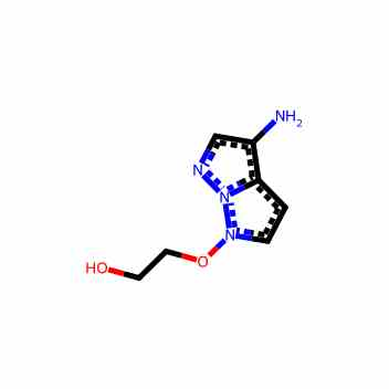 Nc1cnn2c1ccn2OCCO